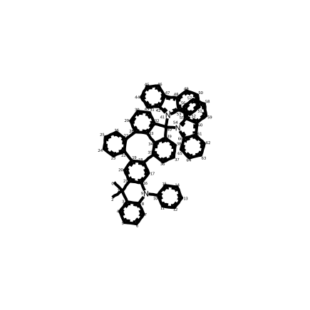 CC1(C)c2ccccc2N(c2ccccc2)c2cc3c(cc21)-c1ccccc1-c1cccc2c1-c1c-3cccc1C2(n1c2ccccc2c2ccccc21)n1c2ccccc2c2ccccc21